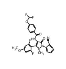 COc1cc(F)c(-c2c(NC(=O)c3ccc(OC(F)F)cc3)c(=O)n(-c3ccccc3C#N)n2C)c(F)c1